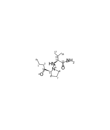 CCCC(=O)[C@@H]1CCCN1N[C@H](C(N)=O)C(C)C